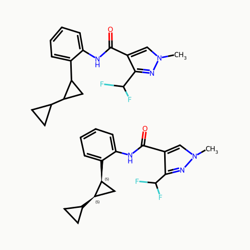 Cn1cc(C(=O)Nc2ccccc2C2CC2C2CC2)c(C(F)F)n1.Cn1cc(C(=O)Nc2ccccc2[C@H]2C[C@H]2C2CC2)c(C(F)F)n1